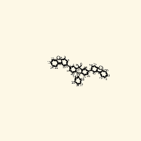 CC1(C)c2cc(-c3ccc4oc5ccccc5c4c3)ccc2N(c2ccccc2)c2ccc(-c3ccc4oc5ccccc5c4c3)cc21